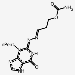 CCCCCn1c(=NN=CCCOC(N)=O)[nH]c(=O)c2[nH]cnc21